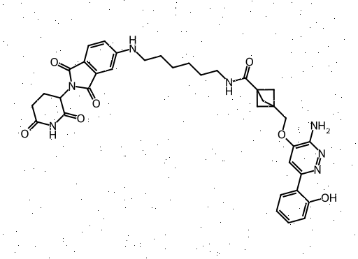 Nc1nnc(-c2ccccc2O)cc1OCC12CC(C(=O)NCCCCCCNc3ccc4c(c3)C(=O)N(C3CCC(=O)NC3=O)C4=O)(C1)C2